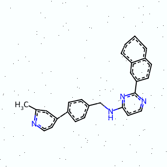 Cc1cc(-c2ccc(CNc3ccnc(-c4ccc5ccccc5c4)n3)cc2)ccn1